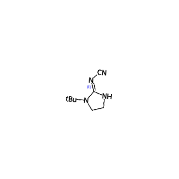 CC(C)(C)N1CCN/C1=N\C#N